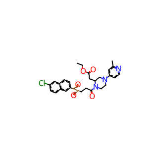 CCOC(=O)CC1CN(c2ccnc(C)c2)CCN1C(=O)CCS(=O)(=O)c1ccc2cc(Cl)ccc2c1